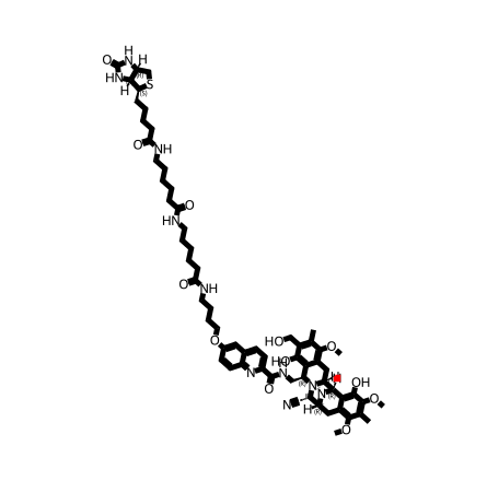 COc1c(C)c(OC)c2c(c1O)[C@@H]1[C@@H]3Cc4c(OC)c(C)c(CO)c(O)c4[C@H](CNC(=O)c4ccc5cc(OCCCCNC(=O)CCCCCNC(=O)CCCCCNC(=O)CCCC[C@@H]6SC[C@@H]7NC(=O)N[C@@H]76)ccc5n4)N3[C@@H](C#N)[C@@H](C2)N1C